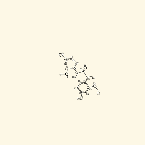 COc1cc(Cl)ccc1C(C)C(=O)C(C)c1ccc(Cl)cc1OC